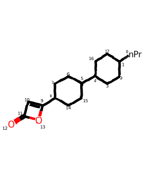 CCCC1CCC(C2CCC(C3=CC(=O)O3)CC2)CC1